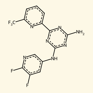 Nc1nc(Nc2cnc(F)c(F)c2)nc(-c2cccc(C(F)(F)F)n2)n1